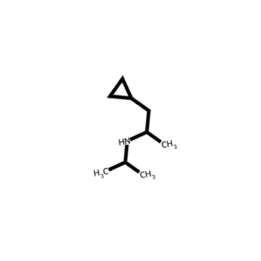 CC(C)NC(C)CC1CC1